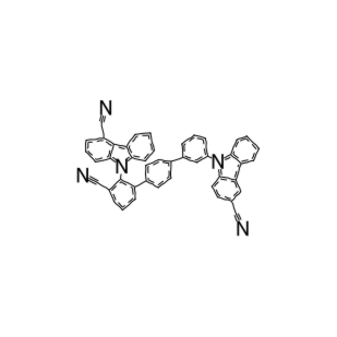 N#Cc1ccc2c(c1)c1ccccc1n2-c1cccc(-c2ccc(-c3cccc(C#N)c3-n3c4ccccc4c4c(C#N)cccc43)cc2)c1